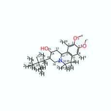 [2H]c1c(OC)c(OC)c([2H])c2c1C1CC(O)C(C([2H])([2H])C(C)(C([2H])([2H])[2H])C([2H])([2H])[2H])CN1C([2H])([2H])C2([2H])[2H]